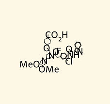 COC1CN([C@H]2C[C@@H](CO[C@H]3CC[C@H](C(=O)O)CC3)N(C(=O)Cc3cc(Cl)c(NC(=O)c4cn(C)c5ccccc45)cc3F)C2)C[C@@H]1OC